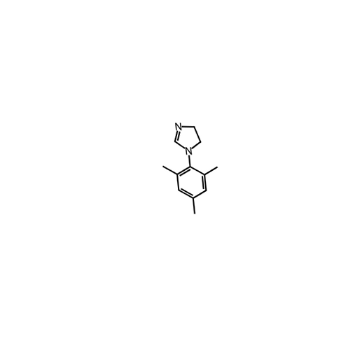 Cc1cc(C)c(N2C=NCC2)c(C)c1